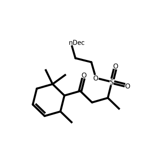 CCCCCCCCCCCCOS(=O)(=O)C(C)CC(=O)C1C(C)C=CCC1(C)C